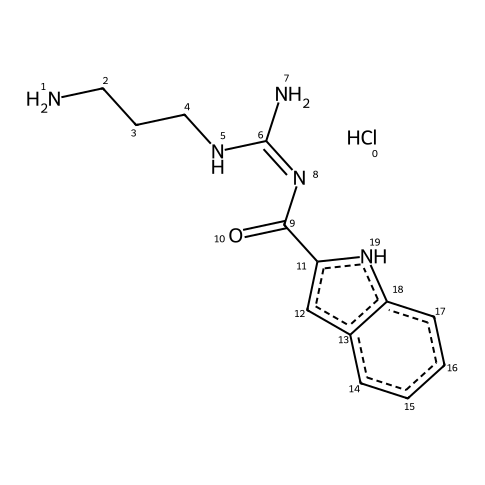 Cl.NCCCNC(N)=NC(=O)c1cc2ccccc2[nH]1